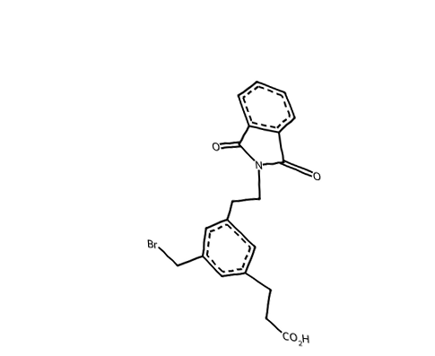 O=C(O)CCc1cc(CBr)cc(CCN2C(=O)c3ccccc3C2=O)c1